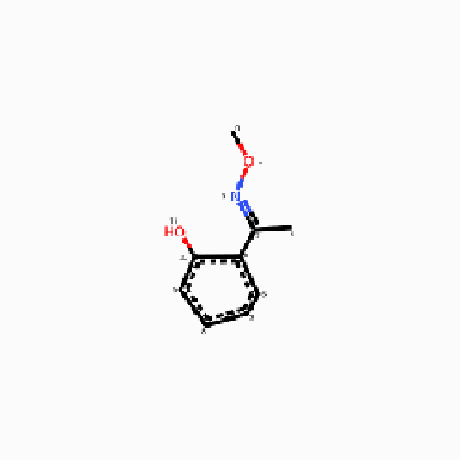 CON=C(C)c1ccccc1O